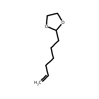 C=CCCCCC1OCCO1